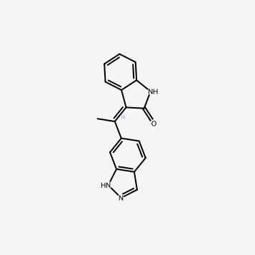 C/C(=C1/C(=O)Nc2ccccc21)c1ccc2cn[nH]c2c1